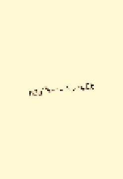 CCC=CCCCCC=CCCCC